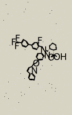 O=C(O)[C@H]1CCCC[C@H]1c1nc2cc(OCc3ccc4ccccc4n3)ccc2n1Cc1ccc(-c2ccc(C(F)(F)F)cc2)cc1F